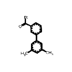 CCC(=O)c1cccc(-c2cc(C)cc(C)c2)c1